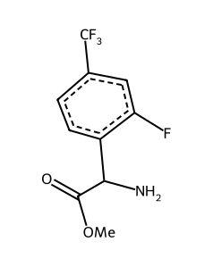 COC(=O)C(N)c1ccc(C(F)(F)F)cc1F